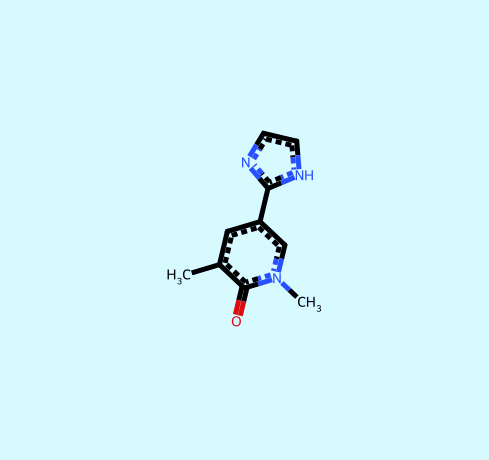 Cc1cc(-c2ncc[nH]2)cn(C)c1=O